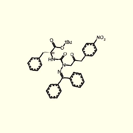 CC(C)(C)OC(=O)[C@@H](Cc1ccccc1)NC(=O)N(CC(=O)Cc1ccc([N+](=O)[O-])cc1)N=C(c1ccccc1)c1ccccc1